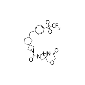 O=C1COCC2(CN(C(=O)N3CC4(CC[C@@H](Cc5ccc(S(=O)(=O)C(F)(F)F)cc5)C4)C3)C2)N1